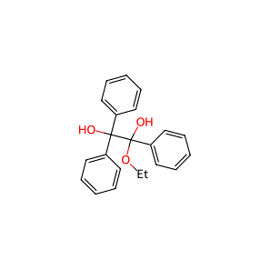 CCOC(O)(c1ccccc1)C(O)(c1ccccc1)c1ccccc1